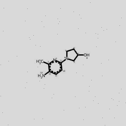 Cc1nc(N2CCC(O)C2)ccc1N